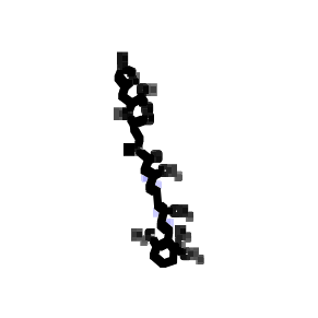 CC1=C(/C=C/C(C)=C/C=C/C(C)=C/C(=O)NCCC(=O)NC(Cc2c[nH]cn2)C(=O)O)C(C)(C)CCC1